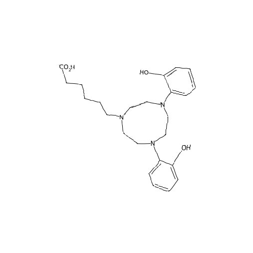 O=C(O)CCCCCN1CCN(c2ccccc2O)CCN(c2ccccc2O)CC1